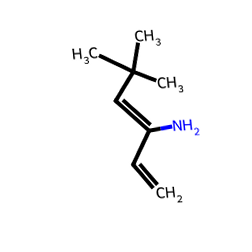 C=CC(N)=CC(C)(C)C